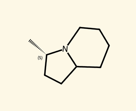 C[C@H]1CCC2CCCCN21